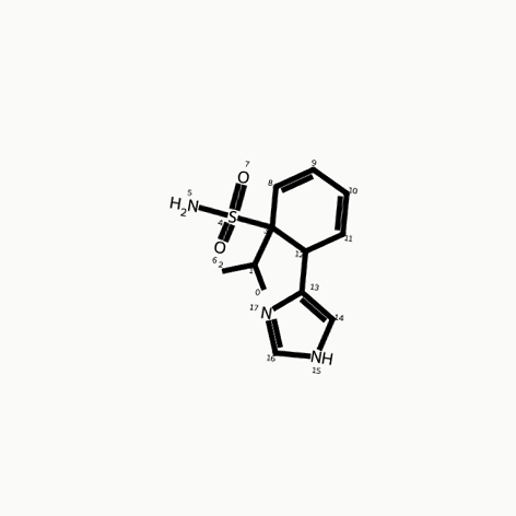 CC(C)C1(S(N)(=O)=O)C=CC=CC1c1c[nH]cn1